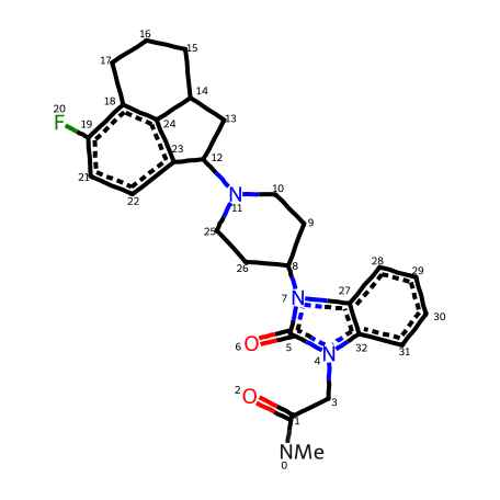 CNC(=O)Cn1c(=O)n(C2CCN(C3CC4CCCc5c(F)ccc3c54)CC2)c2ccccc21